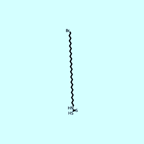 S=C(S)NCCCCCCCCCCCCCCCCCCCCCCCCCCCCCBr